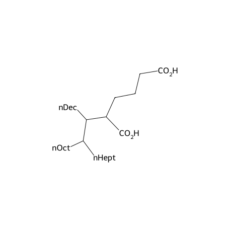 CCCCCCCCCCC(C(CCCCCCC)CCCCCCCC)C(CCCC(=O)O)C(=O)O